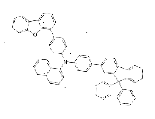 c1ccc(C2(c3ccccc3)c3ccccc3-c3ccc(-c4ccc(N(c5ccc(-c6cccc7c6oc6ccccc67)cc5)c5cccc6ccccc56)cc4)cc32)cc1